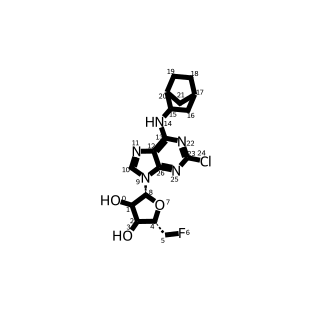 OC1C(O)[C@@H](CF)O[C@H]1n1cnc2c(NC3CC4CCC3C4)nc(Cl)nc21